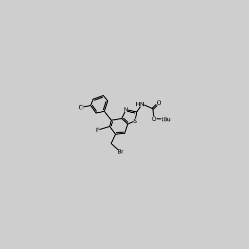 CC(C)(C)OC(=O)Nc1nc2c(-c3cccc(Cl)c3)c(F)c(CBr)cc2s1